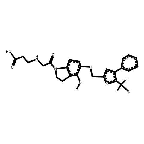 COc1c(OCc2cc(-c3ccccc3)c(C(F)(F)F)s2)ccc2c1CCN2C(=O)CNCCC(=O)O